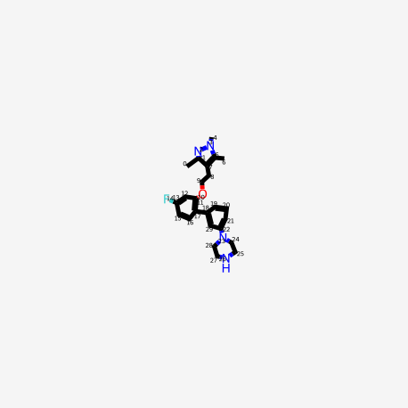 Cc1nn(C)c(C)c1CCOc1cc(F)ccc1-c1cccc(N2CCNCC2)c1